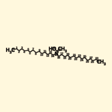 CCCCCCCCCCCCCCCN(CCCCCCCCCCCCCCC)C(C)O